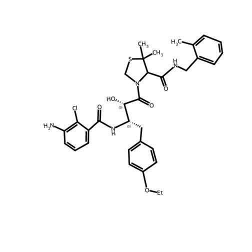 CCOc1ccc(C[C@H](NC(=O)c2cccc(N)c2Cl)[C@H](O)C(=O)N2CSC(C)(C)C2C(=O)NCc2ccccc2C)cc1